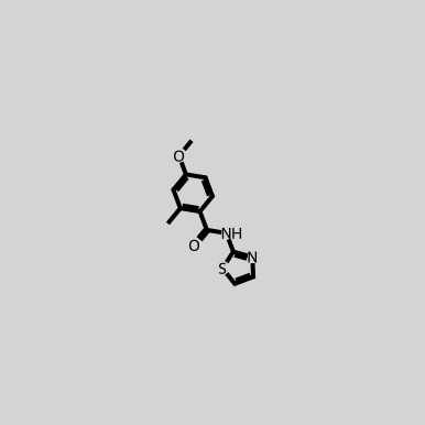 COc1ccc(C(=O)Nc2nccs2)c(C)c1